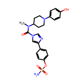 CN(C(=O)n1cnc(-c2ccc(OS(N)(=O)=O)cc2)c1)C1CCN(c2ccc(O)cc2)CC1